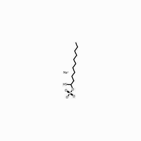 CCCCCCCCCCC(S)OS(=O)(=O)[O-].[Na+]